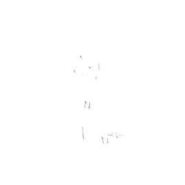 CC(C)(CC1CN(C2CCC(C(=N)N)CC2)C1)OC(N)=O